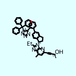 CCc1nc2c(C)cc(C#C[C@H](C)O)nc2n1[C@H]1CCc2cc(-c3ccccc3-c3nnnn3C(c3ccccc3)(c3ccccc3)c3ccccc3)ccc21